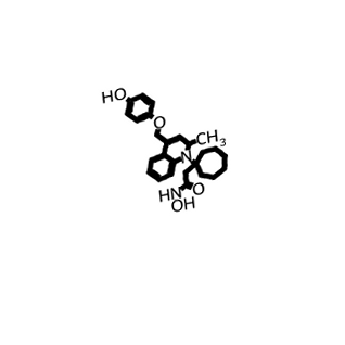 CC1C=C(COc2ccc(O)cc2)c2ccccc2N1C1(CC(=O)NO)CCCCCC1